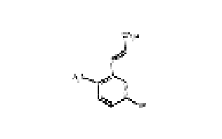 CC(C)c1ccc(N)c(C=CC(=O)O)c1